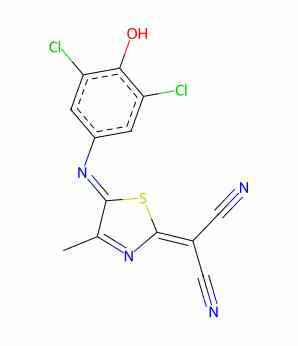 CC1=NC(=C(C#N)C#N)S/C1=N\c1cc(Cl)c(O)c(Cl)c1